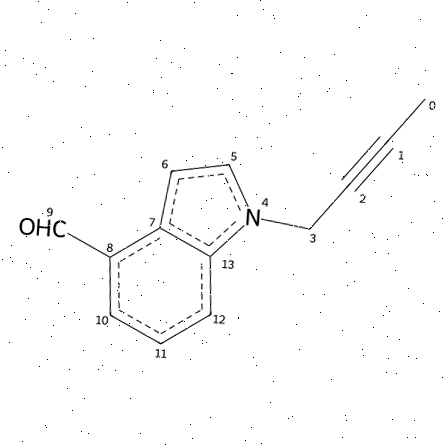 CC#CCn1ccc2c(C=O)cccc21